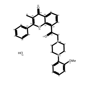 COc1ccccc1N1CCN(CC(=O)c2cccc3c(=O)c(C)c(-c4ccccc4)oc23)CC1.Cl